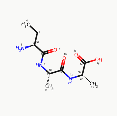 CC[C@H](N)C(=O)N[C@@H](C)C(=O)N[C@@H](C)C(=O)O